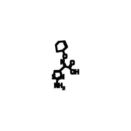 Nc1nc(C(=NOC2C=CCCC2)C(=O)O)cs1